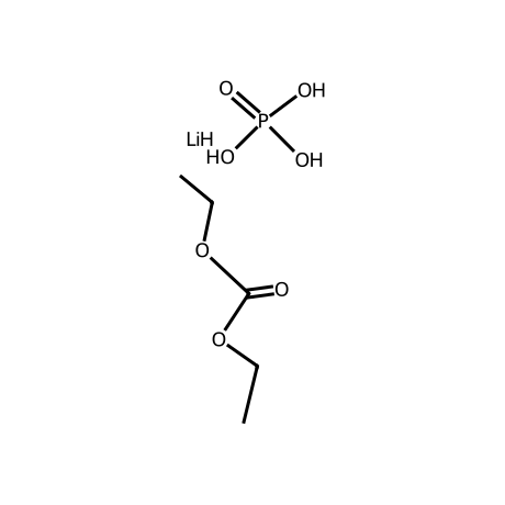 CCOC(=O)OCC.O=P(O)(O)O.[LiH]